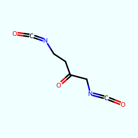 O=C=NCCC(=O)CN=C=O